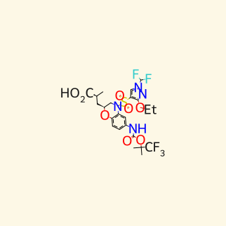 CCOc1nn(C(F)F)cc1S(=O)(=O)N1C[C@H](C[C@H](C)C(=O)O)Oc2ccc(NC(=O)OC(C)(C)C(F)(F)F)cc21